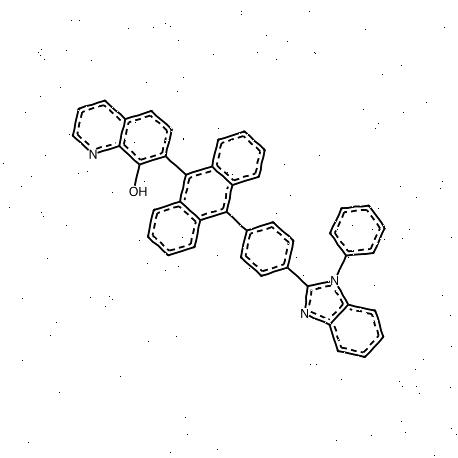 Oc1c(-c2c3ccccc3c(-c3ccc(-c4nc5ccccc5n4-c4ccccc4)cc3)c3ccccc23)ccc2cccnc12